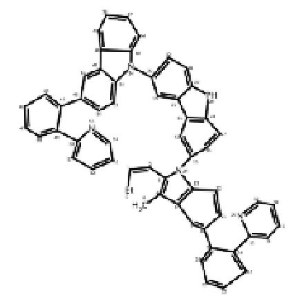 CC/C=C\c1c(C)c2cc(-c3ccccc3-c3ccccn3)ccc2n1-c1ccc2[pH]c3ccc(-n4c5ccccc5c5cc(-c6ccccc6-c6ccccn6)ccc54)cc3c2c1